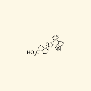 Cn1nc(C2(CC(=O)N3CCCC4C(C(=O)O)CCCC43)CC2)c2c(-c3cccs3)cccc21